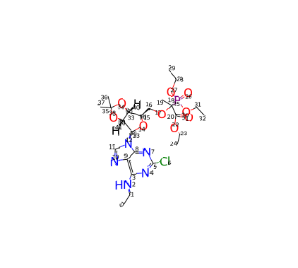 CCNc1nc(Cl)nc2c1ncn2[C@@H]1O[C@H](COC(C)(C(=O)OCC)P(=O)(OCC)OCC)[C@H]2OC(C)(C)O[C@H]21